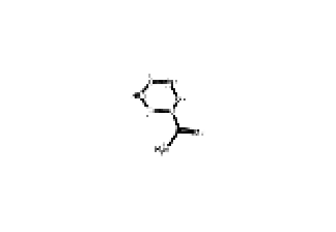 NC(=O)B1OBOBO1